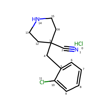 Cl.N#CC1(Cc2ccccc2Cl)CCNCC1